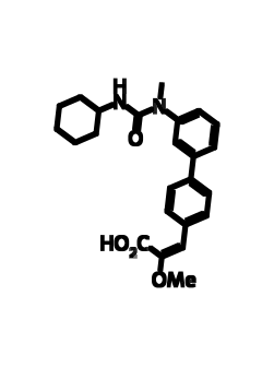 COC(=Cc1ccc(-c2cccc(N(C)C(=O)NC3CCCCC3)c2)cc1)C(=O)O